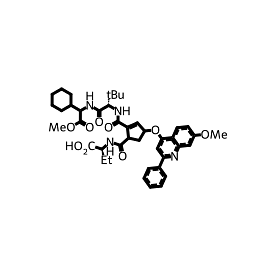 CC[C@H](NC(=O)C1CC(Oc2cc(-c3ccccc3)nc3cc(OC)ccc23)C=C1C(=O)N[C@H](C(=O)NC(C(=O)OC)C1CCCCC1)C(C)(C)C)C(=O)O